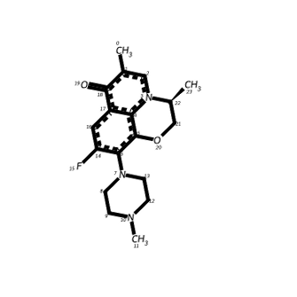 Cc1cn2c3c(c(N4CCN(C)CC4)c(F)cc3c1=O)OC[C@@H]2C